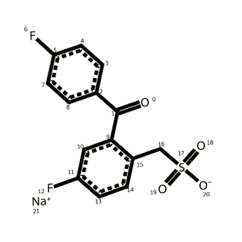 O=C(c1ccc(F)cc1)c1cc(F)ccc1CS(=O)(=O)[O-].[Na+]